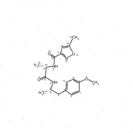 COc1ccc(C[C@H](C)NC(=O)[C@H](C)NC(=O)c2cc(C)on2)cc1